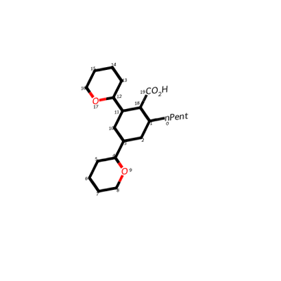 CCCCCC1CC(C2CCCCO2)CC(C2CCCCO2)C1C(=O)O